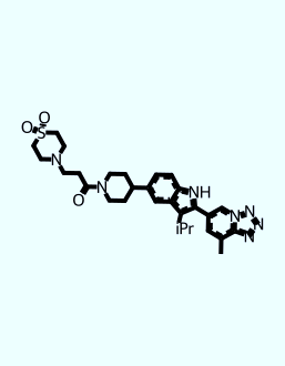 Cc1cc(-c2[nH]c3ccc(C4CCN(C(=O)CCN5CCS(=O)(=O)CC5)CC4)cc3c2C(C)C)cn2nnnc12